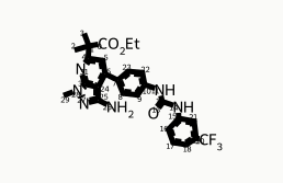 CCOC(=O)C(C)(C)c1cc(-c2ccc(NC(=O)Nc3cccc(C(F)(F)F)c3)cc2)c2c(N)nn(C)c2n1